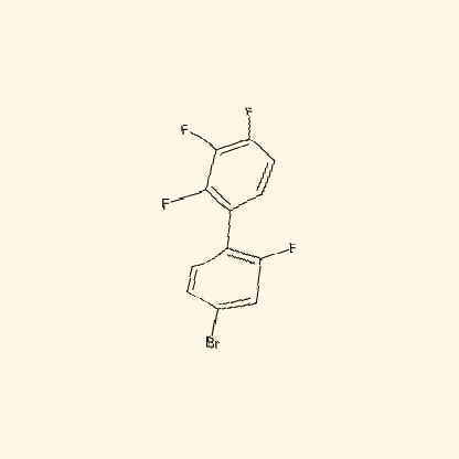 Fc1cc(Br)ccc1-c1ccc(F)c(F)c1F